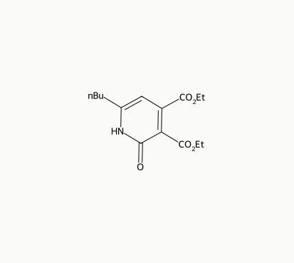 CCCCc1cc(C(=O)OCC)c(C(=O)OCC)c(=O)[nH]1